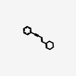 C(#Cc1cc[c]cc1)C=CC1=CCCCC1